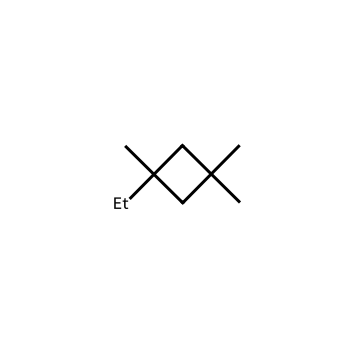 CCC1(C)CC(C)(C)C1